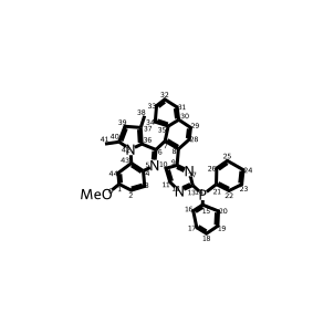 COc1ccc2nc(-c3c(-c4ccnc(P(c5ccccc5)c5ccccc5)n4)ccc4ccccc34)c3c(C)cc(C)n3c2c1